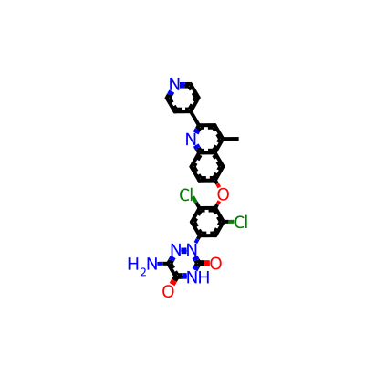 Cc1cc(-c2ccncc2)nc2ccc(Oc3c(Cl)cc(-n4nc(N)c(=O)[nH]c4=O)cc3Cl)cc12